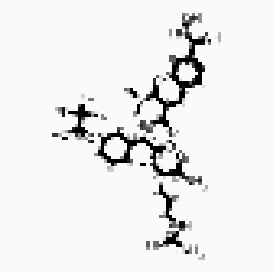 CN(C)C(=O)C(Cc1ccc(C(=N)NO)cc1)C(=O)N[C@H](C(=O)N[C@@H](CCCNC(=N)N)C(N)=O)C1CCCCC1.O=C(O)C(F)(F)F